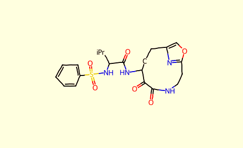 CC(C)C(NS(=O)(=O)c1ccccc1)C(=O)NC1CCc2coc(n2)CCNC(=O)C1=O